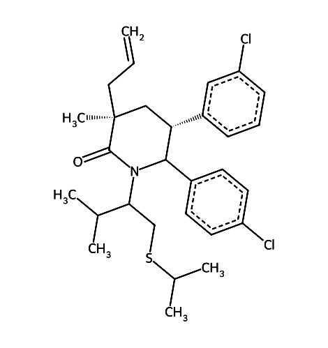 C=CC[C@@]1(C)C[C@H](c2cccc(Cl)c2)C(c2ccc(Cl)cc2)N(C(CSC(C)C)C(C)C)C1=O